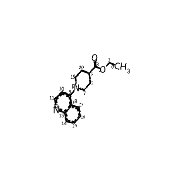 CCOC(=O)C1CCN(c2ccnc3ccccc23)CC1